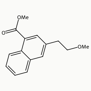 COCCc1cc(C(=O)OC)c2ccccc2c1